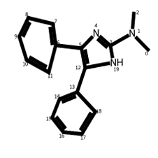 CN(C)c1nc(-c2ccccc2)c(-c2ccccc2)[nH]1